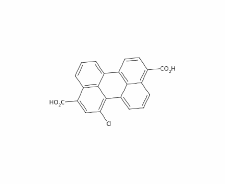 O=C(O)c1ccc2c3cccc4c(C(=O)O)cc(Cl)c(c5cccc1c25)c43